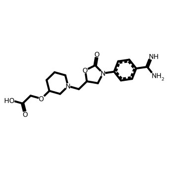 N=C(N)c1ccc(N2CC(CN3CCCC(OCC(=O)O)C3)OC2=O)cc1